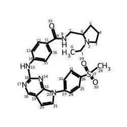 CCN1CCCC1CNC(=O)c1ccc(Nc2ncc3ccn(-c4ccc(S(C)(=O)=O)cc4)c3n2)cc1